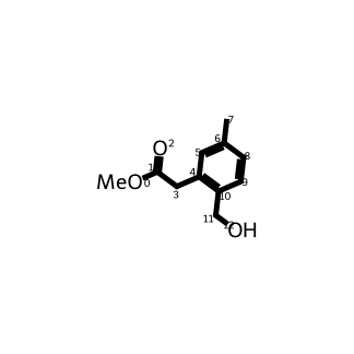 COC(=O)Cc1cc(C)ccc1CO